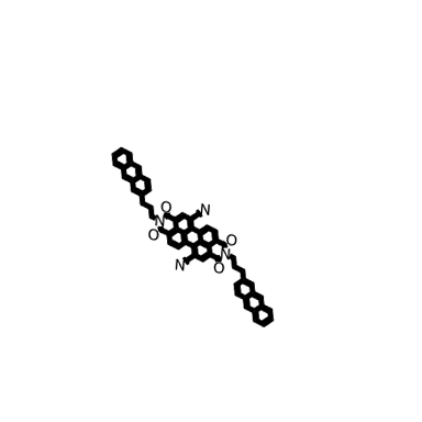 N#Cc1cc2c3c(ccc4c5c(C#N)cc6c7c(ccc(c1c34)c75)C(=O)N(CCCc1ccc3cc4ccccc4cc3c1)C6=O)C(=O)N(CCCc1ccc3cc4ccccc4cc3c1)C2=O